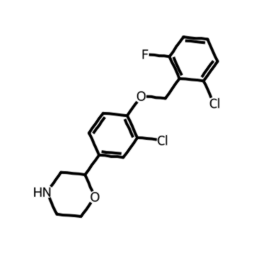 Fc1cccc(Cl)c1COc1ccc(C2CNCCO2)cc1Cl